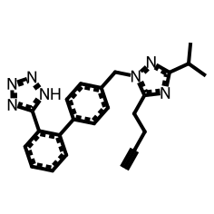 C#CCCc1nc(C(C)C)nn1Cc1ccc(-c2ccccc2-c2nnn[nH]2)cc1